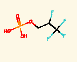 O=P(O)(O)OCC(F)C(F)(F)F